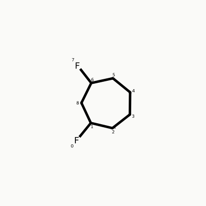 FC1[CH]CCCC(F)C1